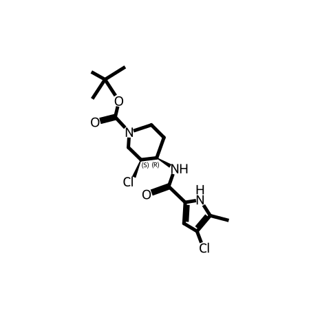 Cc1[nH]c(C(=O)N[C@@H]2CCN(C(=O)OC(C)(C)C)C[C@@H]2Cl)cc1Cl